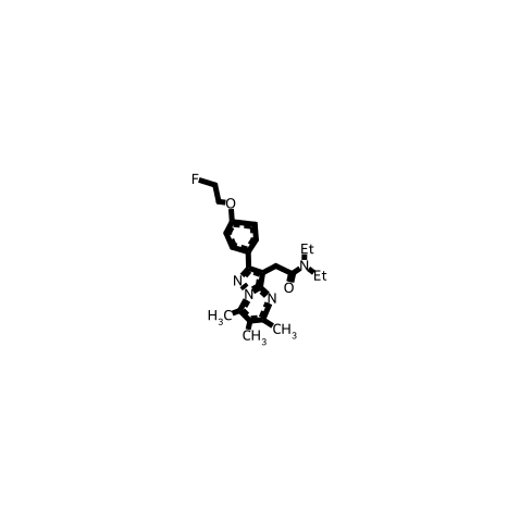 CCN(CC)C(=O)Cc1c(-c2ccc(OCCF)cc2)nn2c(C)c(C)c(C)nc12